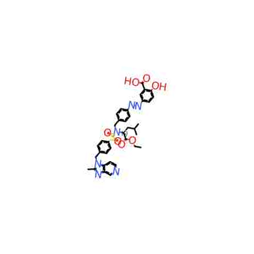 CCOC(=O)[C@H](CC(C)C)N(Cc1ccc(N=Nc2ccc(O)c(C(=O)O)c2)cc1)S(=O)(=O)c1ccc(Cn2c(C)nc3cnccc32)cc1